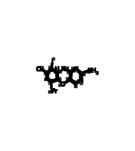 CC(C)c1cc(Cl)c(I)cc1Oc1cnc(N)nc1N